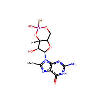 CSc1nc2c(=O)[nH]c(N)nc2n1[C@@H]1OC2CO[PH](O)(S)O[C@H]2[C@@H]1O